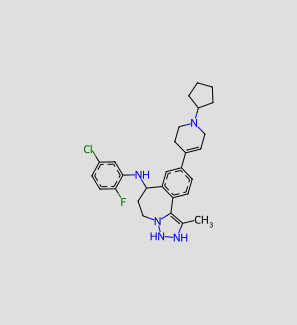 CC1=C2c3ccc(C4=CCN(C5CCCC5)CC4)cc3C(Nc3cc(Cl)ccc3F)CCN2NN1